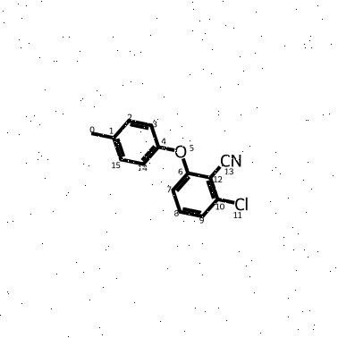 Cc1ccc(Oc2cccc(Cl)c2C#N)cc1